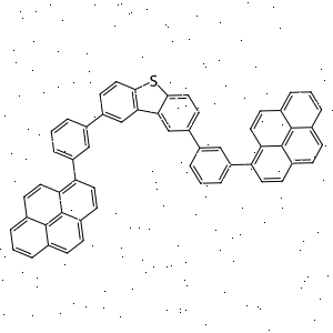 c1cc(-c2ccc3sc4ccc(-c5cccc(-c6ccc7ccc8cccc9ccc6c7c89)c5)cc4c3c2)cc(-c2ccc3ccc4cccc5ccc2c3c45)c1